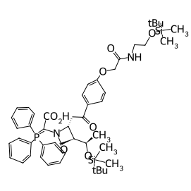 C[C@@H](O[Si](C)(C)C(C)(C)C)[C@H]1C(=O)N(C(C(=O)O)=P(c2ccccc2)(c2ccccc2)c2ccccc2)[C@@H]1CC(=O)c1ccc(OCC(=O)NCCO[Si](C)(C)C(C)(C)C)cc1